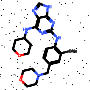 COc1cc(CN2CCOCC2)ccc1Nc1nc(NC2CCOCC2)c2nc[nH]c2n1